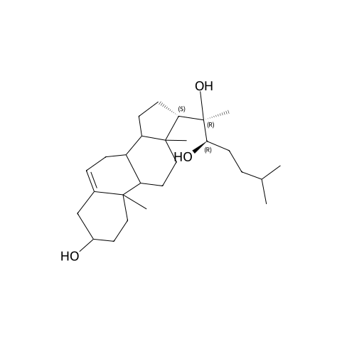 CC(C)CC[C@@H](O)[C@](C)(O)[C@H]1CCC2C3CC=C4CC(O)CCC4(C)C3CCC21C